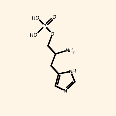 NC(COP(=O)(O)O)Cc1cnc[nH]1